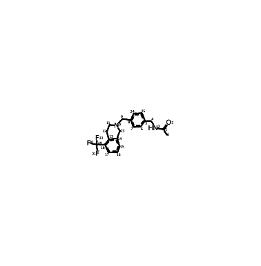 CC(=O)NCc1ccc(CN2CCc3c(cccc3C(F)(F)F)C2)cc1